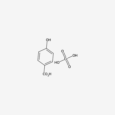 O=C(O)c1ccc(O)cc1.[O]=[Cr](=[O])([OH])[OH]